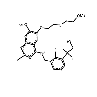 COCCOCCOc1cc2c(NCc3cccc(C(F)(F)CO)c3F)nc(C)nc2cc1OC